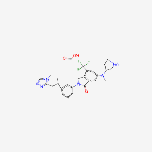 CC(Cc1nncn1C)c1cccc(N2Cc3c(cc(N(C)C4CCNC4)cc3C(F)(F)F)C2=O)c1.O=CO